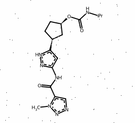 CC(C)NC(=O)O[C@@H]1CC[C@H](c2cc(NC(=O)c3cnnn3C)n[nH]2)C1